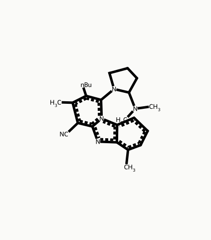 CCCCc1c(C)c(C#N)c2nc3c(C)cccc3n2c1N1CCCC1N(C)C